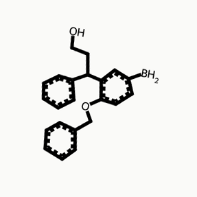 Bc1ccc(OCc2ccccc2)c(C(CCO)c2ccccc2)c1